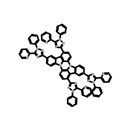 c1ccc(-n2nc(-c3ccc4c(c3)c3c(-c5nc(-c6ccccn6)n(-c6ccccc6)n5)ccc5c3n4c3ccc(-c4nc(-c6ccccn6)n(-c6ccccc6)n4)c4c6cc(-c7nc(-c8ccccn8)n(-c8ccccc8)n7)ccc6n5c43)nc2-c2ccccn2)cc1